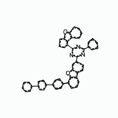 c1ccc(-c2ccc(-c3ccc(-c4cccc5c4oc4cc(-c6nc(-c7ccccc7)nc(-c7cccc8oc9ccccc9c78)n6)ccc45)cc3)cc2)cc1